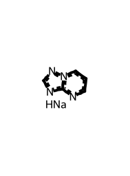 [NaH].c1cnc2ncnn2c1